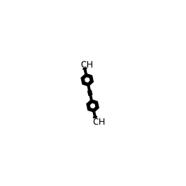 C#Cc1ccc(C#Cc2ccc(C#C)cc2)cc1